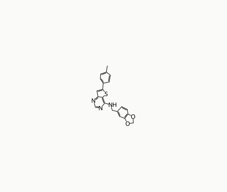 Cc1ccc(-c2cc3ncnc(NCc4ccc5c(c4)OCO5)c3s2)cc1